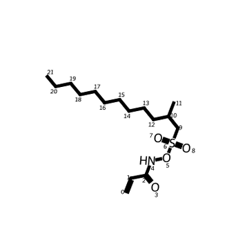 C=CC(=O)NOS(=O)(=O)CC(C)CCCCCCCCCC